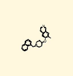 Cc1cc2cnccc2cc1OC1CCN(Cc2cccc3ccccc23)CC1